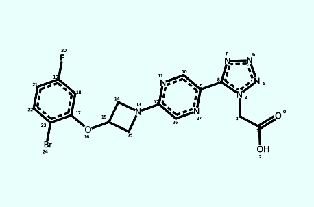 O=C(O)Cn1nnnc1-c1cnc(N2CC(Oc3cc(F)ccc3Br)C2)cn1